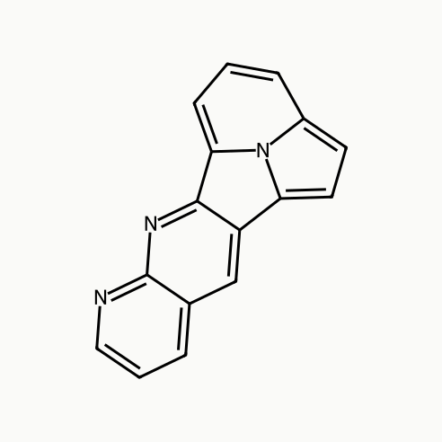 c1cnc2nc3c(cc2c1)c1ccc2cccc3n21